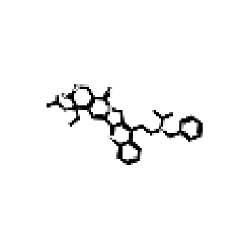 CC[C@@]1(OC(C)C)C(=O)OCc2c1cc1n(c2=O)Cc2c-1nc1ccccc1c2CCN(Cc1ccccc1)C(C)C